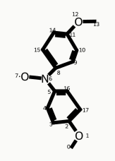 COc1ccc(N([O])c2ccc(OC)cc2)cc1